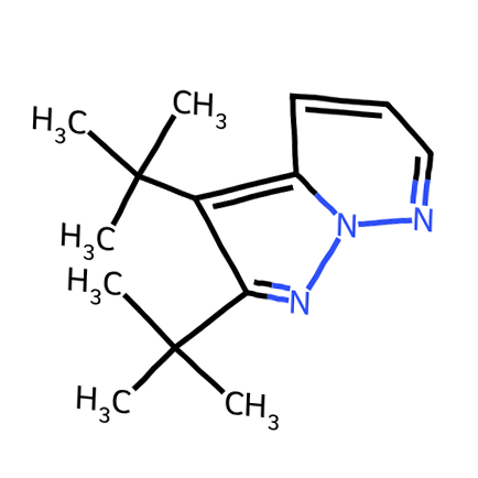 CC(C)(C)c1nn2ncccc2c1C(C)(C)C